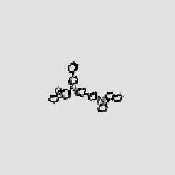 c1ccc(-c2ccc(N(c3ccc(-c4ccc(-n5c6ccccc6c6c7ccccc7ccc65)cc4)cc3)c3ccc4c(c3)oc3ccccc34)cc2)cc1